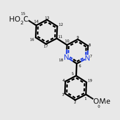 COc1cccc(-c2nccc(-c3ccc(C(=O)O)cc3)n2)c1